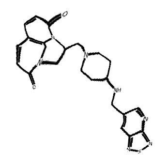 O=c1ccc2ccc(=O)n3c2n1CC3CN1CCC(NCc2cnc3nsnc3c2)CC1